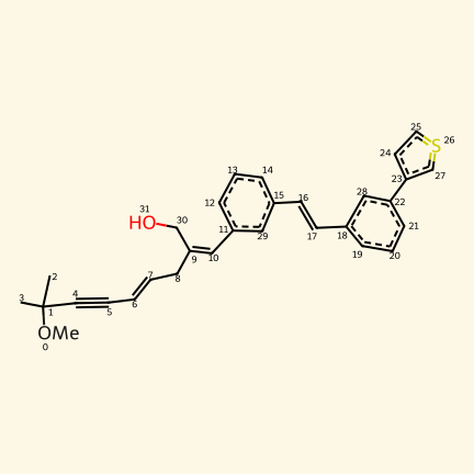 COC(C)(C)C#CC=CCC(=Cc1cccc(C=Cc2cccc(-c3ccsc3)c2)c1)CO